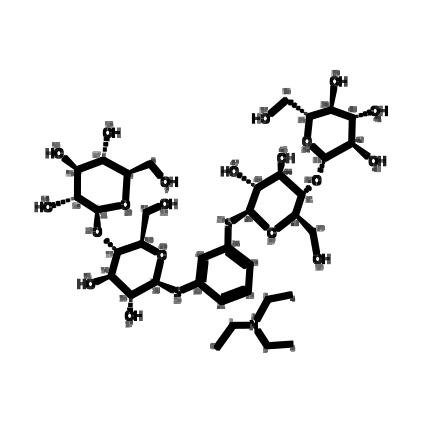 CCN(CC)CC.OC[C@H]1O[C@@H](O[C@H]2[C@H](O)[C@@H](O)[C@H](Sc3cccc(S[C@@H]4O[C@H](CO)[C@@H](O[C@@H]5O[C@H](CO)[C@@H](O)[C@H](O)[C@H]5O)[C@H](O)[C@H]4O)c3)O[C@@H]2CO)[C@H](O)[C@@H](O)[C@@H]1O